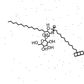 CCCCCCCCCCCCCC[C@@H](O)[C@@H](O)[C@H](COC1OC(CO)C(O)C(O)C1O)N=S(C)(=O)CCCCCCCCCCCC12C3C4C5C3C1C5C42